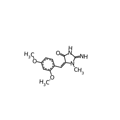 COc1ccc(/C=C2\C(=O)NC(=N)N2C)c(OC)c1